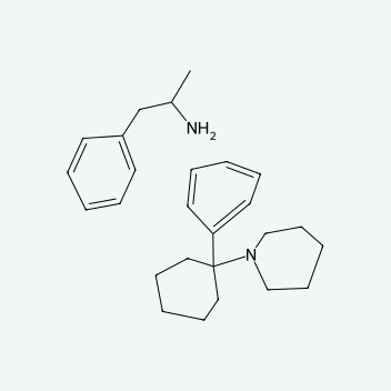 CC(N)Cc1ccccc1.c1ccc(C2(N3CCCCC3)CCCCC2)cc1